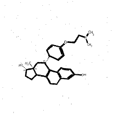 CN(C)CCOC1=CCC([C@H]2C[C@@]3(C)C(CC[C@@H]3O)C3CCc4cc(O)ccc4C32)C=C1